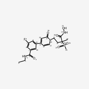 CCNC(=O)c1cc(F)cc(-c2ccn(CCC(C)(C(=O)NO)S(C)(=O)=O)c(=O)c2)c1